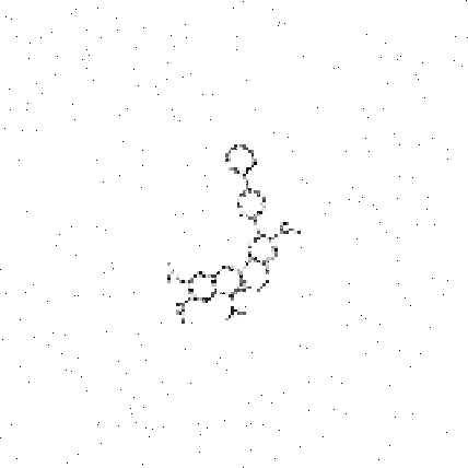 COc1cc2c(cc1OC)C(N(C)C)=S1CCc3cc(OC)c(-c4ccc(-c5ccccc5)cc4)cc3C1=C2